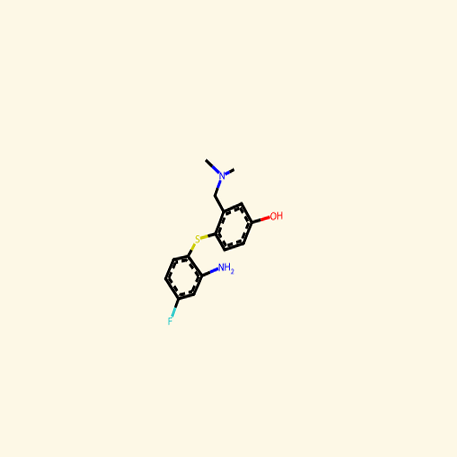 CN(C)Cc1cc(O)ccc1Sc1ccc(F)cc1N